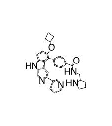 O=C(NCC1CCCN1)c1ccc(-c2c(OC3CCC3)ccc3[nH]c4cnc(-c5cccnc5)cc4c23)cc1